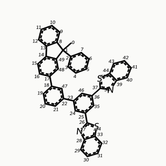 CC1(c2ccccc2)c2ccccc2-c2ccc(-c3cccc(-c4cc(-c5nc6ccccc6s5)cc(-c5nc6ccccc6s5)c4)c3)cc21